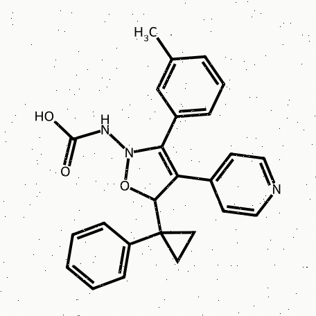 Cc1cccc(C2=C(c3ccncc3)C(C3(c4ccccc4)CC3)ON2NC(=O)O)c1